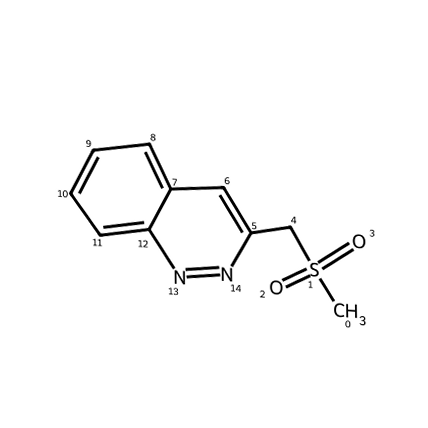 CS(=O)(=O)Cc1cc2ccccc2nn1